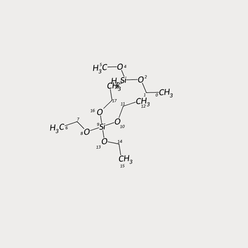 CCO[SiH2]OC.CCO[Si](OCC)(OCC)OCC